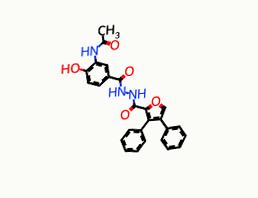 CC(=O)Nc1cc(C(=O)NNC(=O)c2occ(-c3ccccc3)c2-c2ccccc2)ccc1O